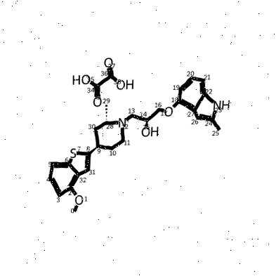 COc1cccc2sc([C@@H]3CCN(C[C@H](O)COc4cccc5[nH]c(C)cc45)[C@@H](C)C3)cc12.O=C(O)C(=O)O